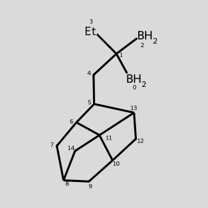 BC(B)(CC)CC1C2CC3CC(C2)CC1C3